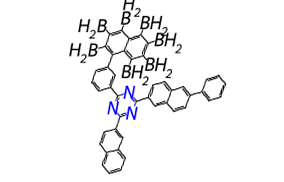 Bc1c(B)c(B)c2c(-c3cccc(-c4nc(-c5ccc6ccccc6c5)nc(-c5ccc6cc(-c7ccccc7)ccc6c5)n4)c3)c(B)c(B)c(B)c2c1B